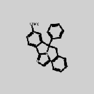 COc1ccc2c(c1)C(Cc1ccccc1)(c1ccccc1)n1ccnc1-2